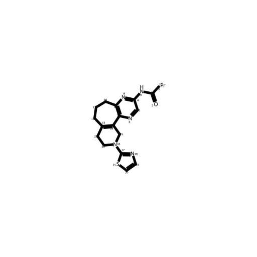 CC(C)C(=O)Nc1cnc2c(n1)CCCC1=C2CN(c2nccs2)CC1